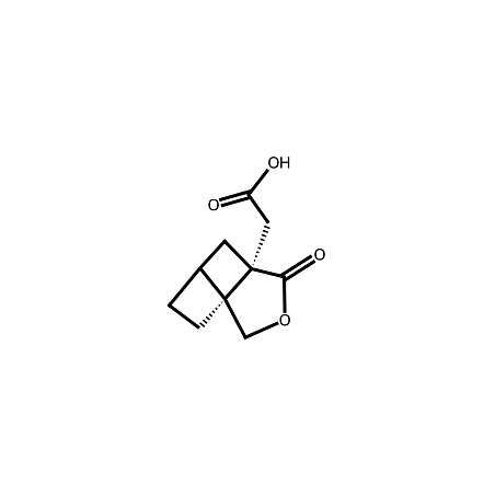 O=C(O)C[C@@]12CC3CC[C@]31COC2=O